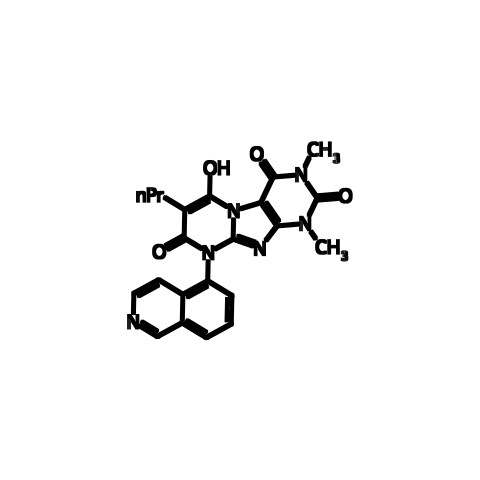 CCCc1c(O)n2c3c(=O)n(C)c(=O)n(C)c3nc2n(-c2cccc3cnccc23)c1=O